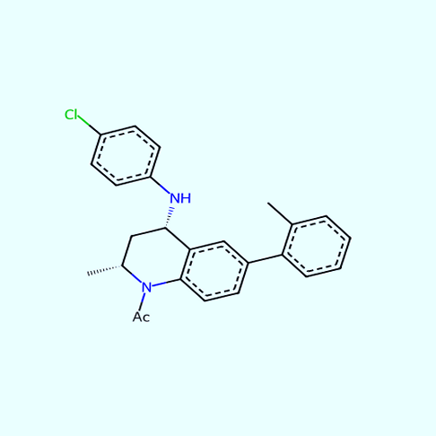 CC(=O)N1c2ccc(-c3ccccc3C)cc2[C@@H](Nc2ccc(Cl)cc2)C[C@H]1C